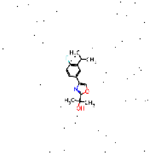 CC(C)c1cc(-c2coc(C(C)(C)O)n2)ccc1F